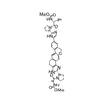 COC(=O)NC(C(=O)N1CCC[C@H]1c1ncc(-c2ccc3c(c2)COc2cc4c(cc2-3)CCc2[nH]c([C@@H]3CCCN3C(=O)[C@@H](C)NC(=O)OC)nc2-4)[nH]1)C(C)C